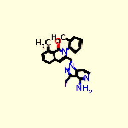 CC1=C2C(=O)N(c3ccccc3C)C(Cn3nc(I)c4c(N)nccc43)=CC2CC=C1